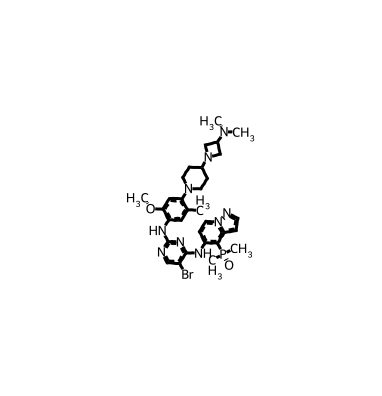 COc1cc(N2CCC(N3CC(N(C)C)C3)CC2)c(C)cc1Nc1ncc(Br)c(Nc2ccn3nccc3c2P(C)(C)=O)n1